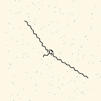 CCCCCCCCCCCCCCCCCn1cc[n+](CCCCCCCCCCCCCCC)c1CCC